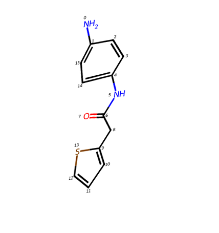 Nc1ccc(NC(=O)Cc2cccs2)cc1